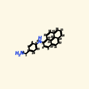 NCc1ccc(Nc2ccc3ccc4cccc5ccc2c3c45)cc1